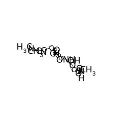 CNS(=O)(=O)c1cccc(OC[C@@H](O)CNC2COC3(CCN(S(=O)(=O)c4cccc(-c5ccc(OCCCN(C)C)nc5)c4)CC3)C2)c1